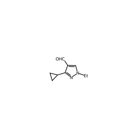 CCn1cc(C=O)c(C2CC2)n1